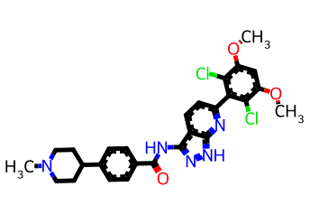 COc1cc(OC)c(Cl)c(-c2ccc3c(NC(=O)c4ccc(C5CCN(C)CC5)cc4)n[nH]c3n2)c1Cl